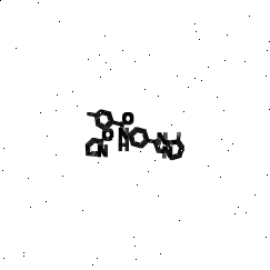 Cc1ccc(C(=O)Nc2ccc(-c3cn4cccc(C)c4n3)cc2)c(Oc2ccccn2)c1